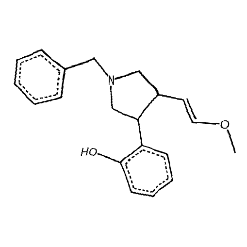 COC=CC1CN(Cc2ccccc2)CC1c1ccccc1O